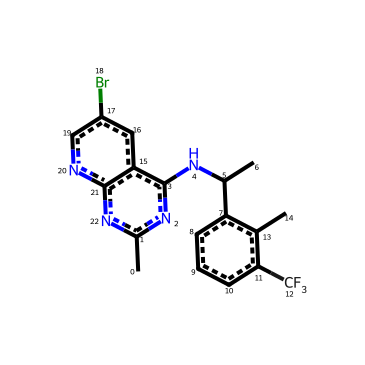 Cc1nc(NC(C)c2cccc(C(F)(F)F)c2C)c2cc(Br)cnc2n1